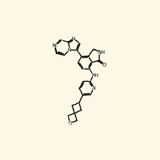 O=C1NCc2c(-c3cnc4cnccn34)ccc(Nc3ccc(C4CC5(COC5)C4)cn3)c21